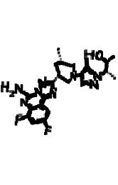 Cc1c(N2C[C@@H](C)C[C@@H](c3nc4c5cc(F)cc(F)c5nc(N)n4n3)C2)cnn1[C@@H](C)[C@H](C)O